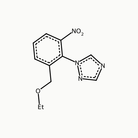 CCOCc1cccc([N+](=O)[O-])c1-n1cncn1